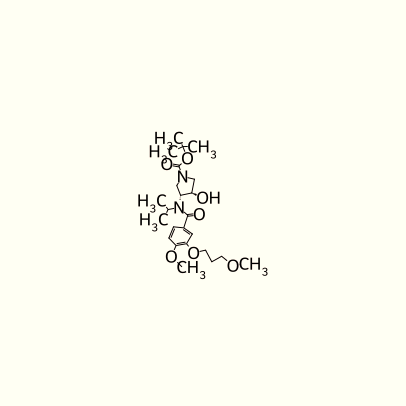 COCCCOc1cc(C(=O)N(C(C)C)[C@@H]2CN(C(=O)OC(C)(C)C)C[C@H]2O)ccc1OC